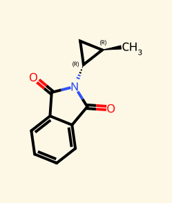 C[C@@H]1C[C@H]1N1C(=O)c2ccccc2C1=O